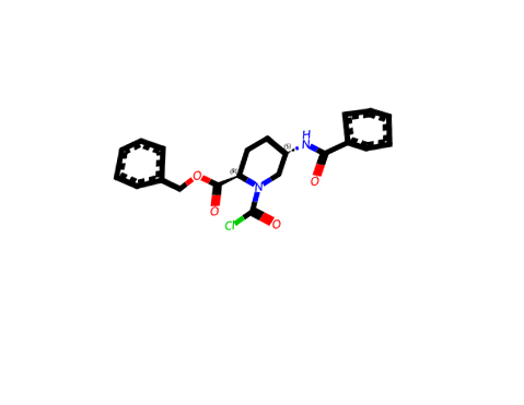 O=C(N[C@H]1CC[C@H](C(=O)OCc2ccccc2)N(C(=O)Cl)C1)c1ccccc1